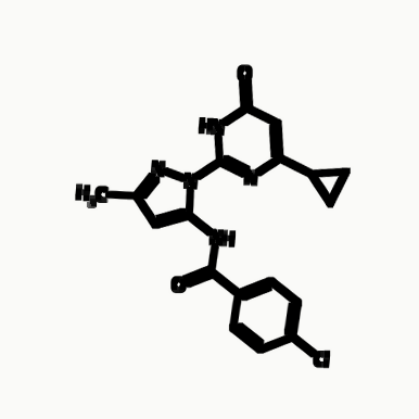 Cc1cc(NC(=O)c2ccc(Cl)cc2)n(-c2nc(C3CC3)cc(=O)[nH]2)n1